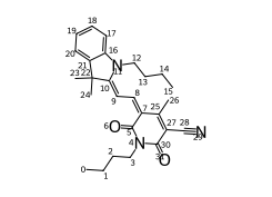 CCCCN1C(=O)C(=CC=C2N(CCCC)c3ccccc3C2(C)C)C(C)=C(C#N)C1=O